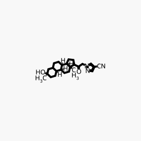 CC12CC[C@H]3[C@@H](CCC4C[C@](C)(O)CC[C@@H]43)[C@@H]1CCC2C(=O)Cn1cc(C#N)cn1